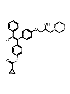 CCC(=C(c1ccc(OCC(O)CN2CCCCC2)cc1)c1ccc(OC(=O)C2CC2)cc1)c1ccccc1